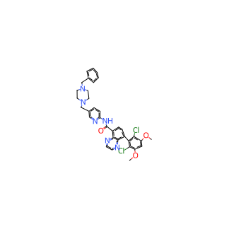 COc1cc(OC)c(Cl)c(-c2ccc(C(=O)Nc3ccc(CN4CCN(Cc5ccccc5)CC4)cn3)c3nccnc23)c1Cl